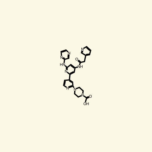 O=C(Cc1cccnc1)Nc1cc(Nc2cnccn2)nc(-c2ccnc(N3CCN(C(=O)O)CC3)c2)c1